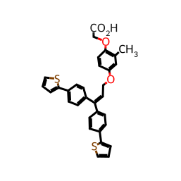 Cc1cc(OCC=C(c2ccc(-c3cccs3)cc2)c2ccc(-c3cccs3)cc2)ccc1OCC(=O)O